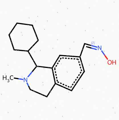 CN1CCc2ccc(/C=N\O)cc2C1C1CCCCC1